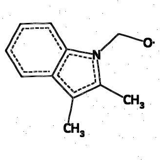 Cc1c(C)n(C[O])c2ccccc12